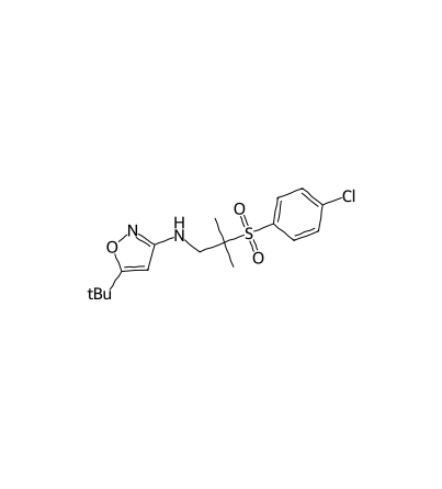 CC(C)(C)c1cc(NCC(C)(C)S(=O)(=O)c2ccc(Cl)cc2)no1